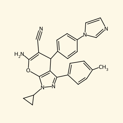 Cc1ccc(-c2nn(C3CC3)c3c2C(c2ccc(-n4ccnc4)cc2)C(C#N)=C(N)O3)cc1